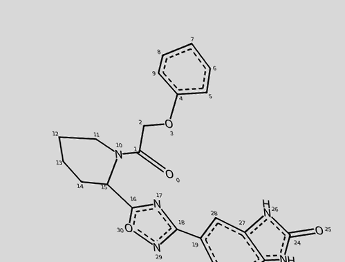 O=C(COc1ccccc1)N1CCCCC1c1nc(-c2ccc3[nH]c(=O)[nH]c3c2)no1